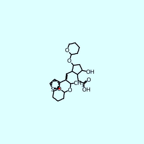 CC(OC1CCCCO1)C(=CC1C(OC2CCCCO2)CC(O)C1CC(=O)O)c1ccsc1